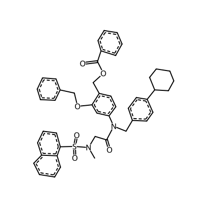 CN(CC(=O)N(Cc1ccc(C2CCCCC2)cc1)c1ccc(COC(=O)c2ccccc2)c(OCc2ccccc2)c1)S(=O)(=O)c1cccc2ccccc12